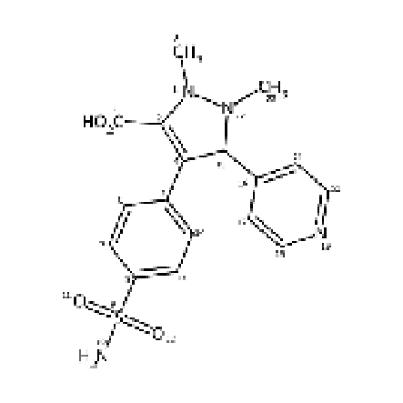 CN1C(C(=O)O)=C(c2ccc(S(N)(=O)=O)cc2)C(c2ccncc2)N1C